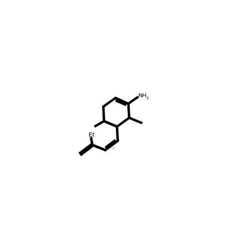 C=C(/C=C\C1C(C)CC=C(N)C1C)CC